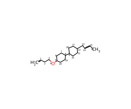 C=CCCOC1CCC(C2CCC(C/C=C/C)CC2)CC1